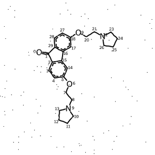 O=C1c2ccc(OCCN3CCCC3)cc2-c2cc(OCCN3CCCC3)ccc21